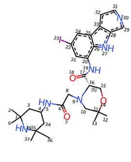 CC1(C)CC(NC(=O)CN2CC(C)(C)OC[C@H]2C(=O)Nc2cc(I)cc3c2[nH]c2cnccc23)CC(C)(C)N1